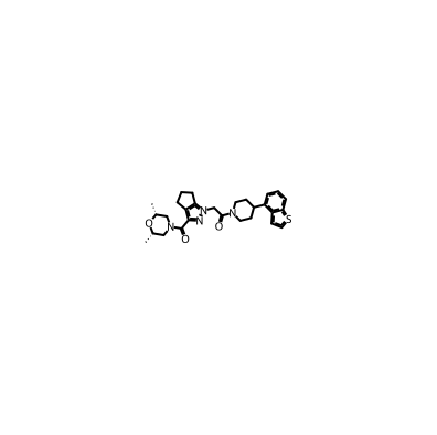 C[C@@H]1CN(C(=O)c2nn(CC(=O)N3CCC(c4cccc5sccc45)CC3)c3c2CCC3)C[C@H](C)O1